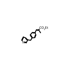 CCOC(=O)C(C)=Cc1ccc(Cc2cccnc2)cc1